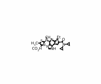 CCn1c(C(=O)N(C2CC2)C2CC2)cc2c3[nH]cnc3c(N(C)c3nc(C(=O)O)c(C)s3)nc21